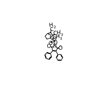 C=C1C2CCC(S(=O)(=O)ON3C(=O)C(c4ccccc4)=C(c4ccccc4)C3=O)(C2)C1(C)C